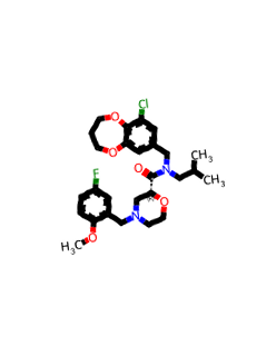 COc1ccc(F)cc1CN1CCO[C@@H](C(=O)N(Cc2cc(Cl)c3c(c2)OCCCO3)CC(C)C)C1